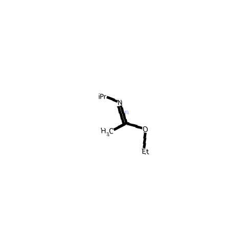 CCO/C(C)=N/C(C)C